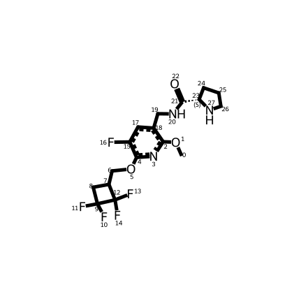 COc1nc(OCC2CC(F)(F)C2(F)F)c(F)cc1CNC(=O)[C@@H]1CCCN1